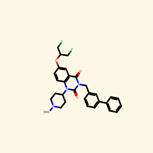 O=CN1CCC(n2c(=O)n(Cc3cccc(-c4ccccc4)c3)c(=O)c3cc(OC(CF)CF)ccc32)CC1